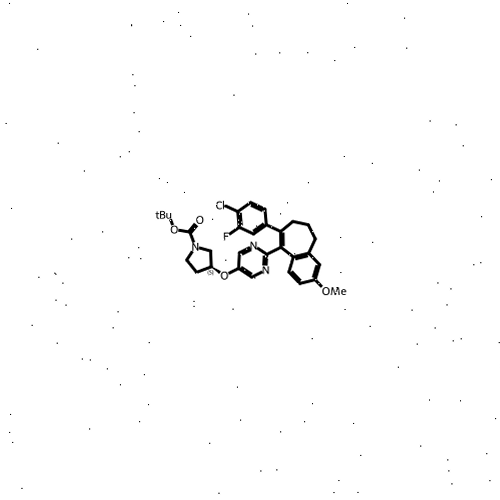 COc1ccc2c(c1)CCCC(c1ccc(Cl)c(F)c1)=C2c1ncc(O[C@H]2CCN(C(=O)OC(C)(C)C)C2)cn1